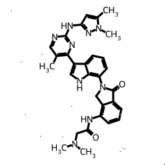 Cc1cnc(Nc2cc(C)n(C)n2)nc1-c1c[nH]c2c(N3Cc4c(NC(=O)CN(C)C)cccc4C3=O)cccc12